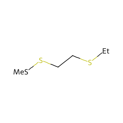 CCSCCSSC